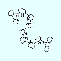 c1cc(-c2cccc(-c3cccc(-c4cccc(-n5c6ccccc6c6ccccc65)n4)n3)n2)nc(-c2cccc(-c3cccc(-c4cccc(-n5c6ccccc6c6ccccc65)n4)n3)n2)c1